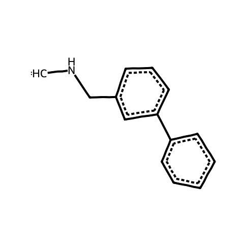 [CH]NCc1cccc(-c2ccccc2)c1